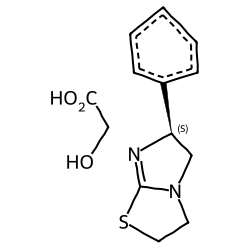 O=C(O)CO.c1ccc([C@H]2CN3CCSC3=N2)cc1